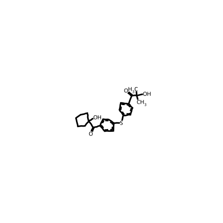 CC(C)(O)C(=O)c1ccc(Sc2ccc(C(=O)C3(O)CCCCC3)cc2)cc1